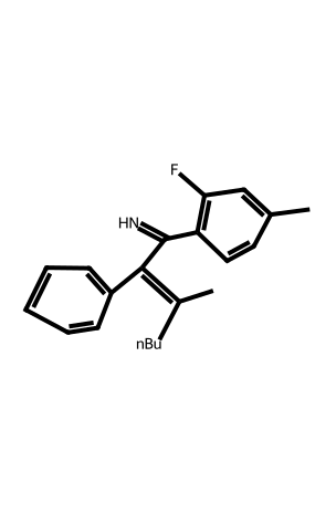 CCCC/C(C)=C(/C(=N)c1ccc(C)cc1F)c1ccccc1